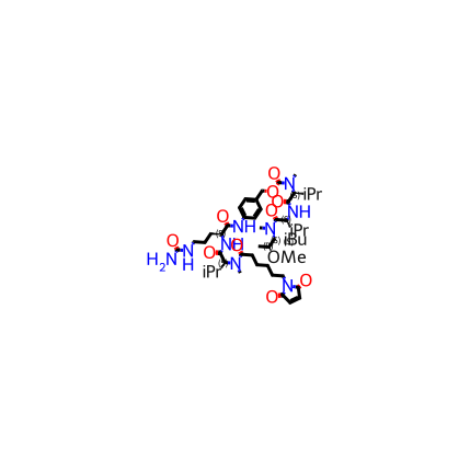 CC[C@H](C)[C@@H]([C@@H](C)OC)N(C)C(=O)[C@@H](NC(=O)[C@H](C(C)C)N(C)C(=O)OCc1ccc(NC(=O)[C@H](CCCNC(N)=O)NC(=O)[C@H](C(C)C)N(C)C(=O)CCCCCN2C(=O)C=CC2=O)cc1)C(C)C